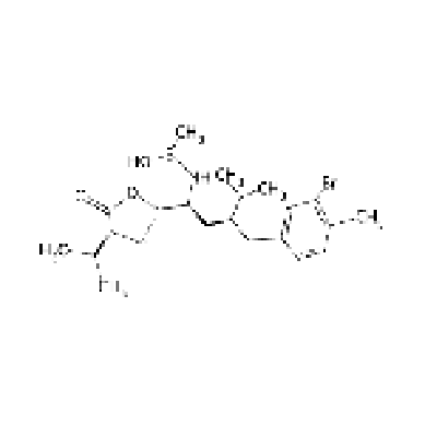 CB(O)N[C@@H](C[C@H](Cc1ccc(C)c(Br)c1)C(C)C)[C@@H]1C[C@@H](C(C)C)C(=O)O1